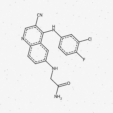 N#Cc1cnc2ccc(NCC(N)=O)cc2c1Nc1ccc(F)c(Cl)c1